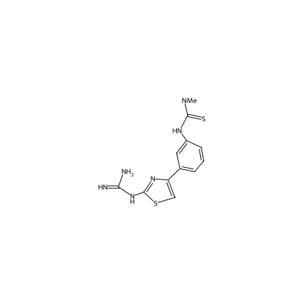 CNC(=S)Nc1cccc(-c2csc(NC(=N)N)n2)c1